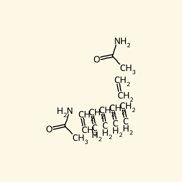 C=C.C=C.C=C.C=C.C=C.C=C.CC(N)=O.CC(N)=O